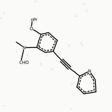 CCCOc1ccc(C#Cc2ccccn2)cc1N(C)C=O